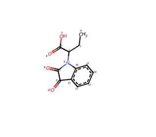 CCC(C(=O)O)N1C(=O)C(=O)c2ccccc21